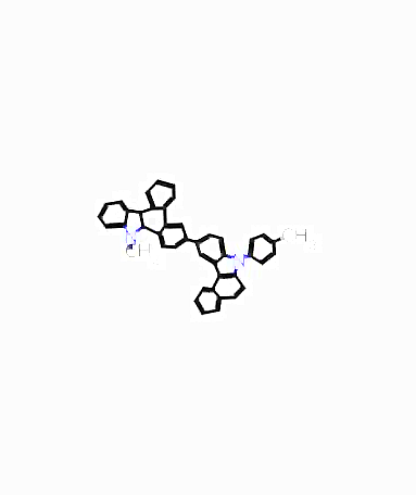 Cc1ccc(-n2c3ccc(-c4ccc5c(c4)-c4ccccc4C4c6ccccc6N(C)C54)cc3c3c4ccccc4ccc32)cc1